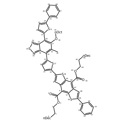 CCCCCCCCCCCCOC(=O)c1c2cc(-c3ccc(-c4c(C)c(OCCCCCCCC)c(-c5ccc(-c6ccccc6)s5)c5nsnc45)s3)sc2c(C(=O)OCCCCCCCCCCCC)c2cc(-c3ccccc3)sc12